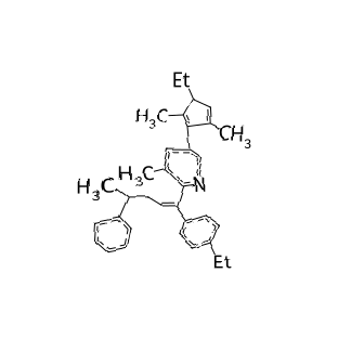 CCc1ccc(/C(=C/CC(C)c2ccccc2)c2ncc(C3=C(C)C(CC)C=C3C)cc2C)cc1